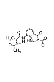 CC(=O)NC(C)C(=O)Nc1cccc2c(=O)c(C(=O)O)c[nH]c12